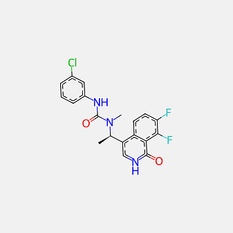 C[C@H](c1c[nH]c(=O)c2c(F)c(F)ccc12)N(C)C(=O)Nc1cccc(Cl)c1